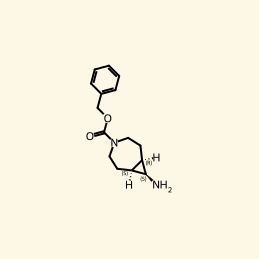 N[C@H]1[C@H]2CCN(C(=O)OCc3ccccc3)CC[C@@H]12